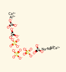 O=S(=O)([O-])[O-].O=S(=O)([O-])[O-].O=S(=O)([O-])[O-].O=[Si]([O-])[O-].O=[Si]([O-])[O-].O=[Si]([O-])[O-].[Al+3].[Al+3].[Ca+2].[Ca+2].[Na+].[Na+]